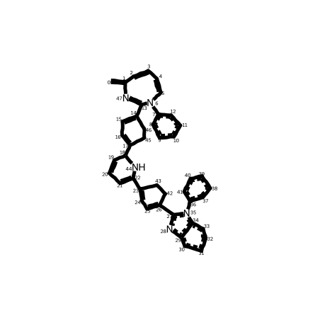 C=C1/C=C\C=C/N(c2ccccc2)/C(C2=CC=C(C3C=CC=C(C4=CC=C(c5nc6ccccc6n5-c5ccccc5)CC4)N3)CC2)=N\1